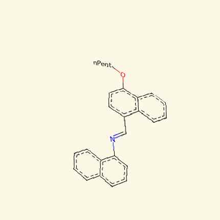 CCCCCOc1ccc(C=Nc2cccc3ccccc23)c2ccccc12